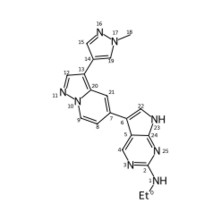 CCNc1ncc2c(-c3ccn4ncc(-c5cnn(C)c5)c4c3)c[nH]c2n1